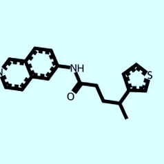 CC(CCC(=O)Nc1ccc2cnccc2c1)c1ccsc1